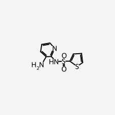 Nc1cccnc1NS(=O)(=O)c1cccs1